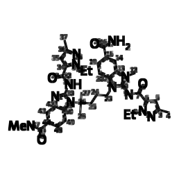 CCn1nc(C)cc1C(=O)/N=c1\n(C)c2cc(C(N)=O)ccc2n1CCCC(C)(C)n1c(NC(=O)c2cc(C)nn2CC)nc2cc(C(=O)NC)ccc21